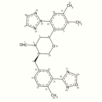 Cc1cc(C2CN(C=O)[C@H](Cc3ccc(C)c(-c4ncon4)c3)CO2)c(-n2nccn2)cc1C